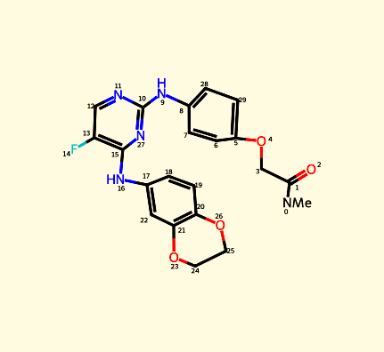 CNC(=O)COc1ccc(Nc2ncc(F)c(Nc3ccc4c(c3)OCCO4)n2)cc1